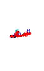 O=C1CCC(N2C(=O)c3ccc(OCCOCC4CCC(n5c(NC(=O)c6cccc(C(F)(F)F)c6)nc6cc(CN7CCCCC7)ccc65)CC4)cc3C2=O)C(=O)N1